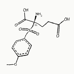 COc1ccc(S(=O)(=O)[C@@](N)(CCC(=O)O)C(=O)O)cc1